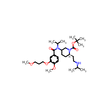 COCCCOc1cc(C(=O)N(C(C)C)C2CC[C@H](CCNC(C)C)N(C(=O)OC(C)(C)C)C2)ccc1OC